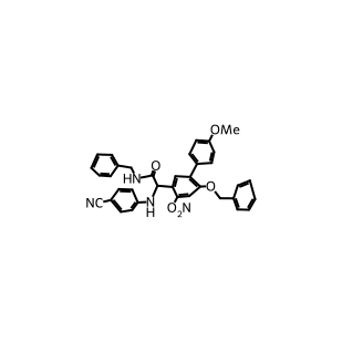 COc1ccc(-c2cc(C(Nc3ccc(C#N)cc3)C(=O)NCc3ccccc3)c([N+](=O)[O-])cc2OCc2ccccc2)cc1